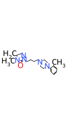 C=C1C=NN(CCCCN2CCN(c3ccccc3C)CC2)C(=O)N1C